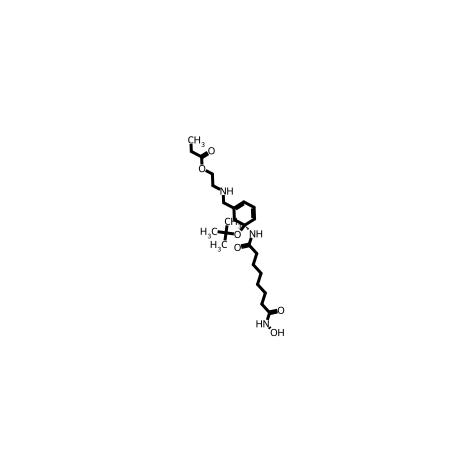 CCC(=O)OCCNCC1=CC=C[C@@](NC(=O)CCCCCCC(=O)NO)(OC(C)(C)C)C1